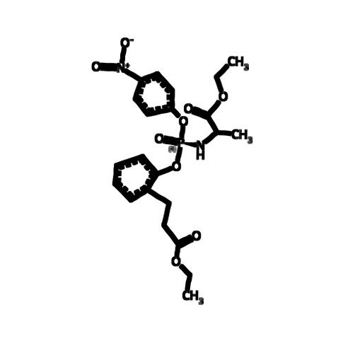 CCOC(=O)CCc1ccccc1O[P@@](=O)(NC(C)C(=O)OCC)Oc1ccc([N+](=O)[O-])cc1